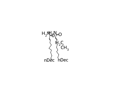 C=CC.CCCCCCCCCCCCCCCCCC=CC(N)=O.CCCCCCCCCCCCCCCCCC=CC(N)=O